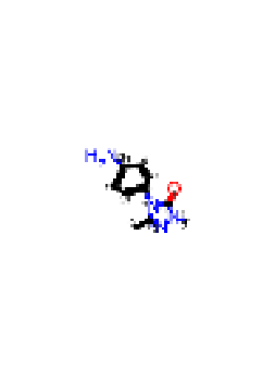 Cc1nn(C)c(=O)n1-c1ccc(N)cc1